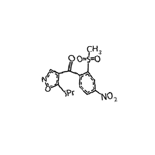 CC(C)c1oncc1C(=O)c1ccc([N+](=O)[O-])cc1S(C)(=O)=O